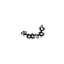 CN1CCC(c2cc(C(=O)Nc3cc4cc(-c5cnco5)cnc4cn3)ccn2)CC1